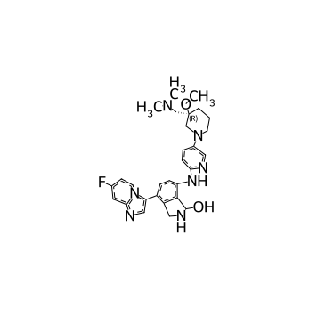 CO[C@@]1(CN(C)C)CCCN(c2ccc(Nc3ccc(-c4cnc5cc(F)ccn45)c4c3C(O)NC4)nc2)C1